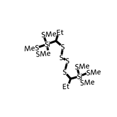 CCC(SSSSC(CC)[Si](SC)(SC)SC)[Si](SC)(SC)SC